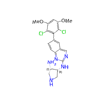 COc1cc(OC)c(Cl)c(-c2ccc3nc(N[C@@H]4CNC[C@@H]4N)ncc3c2)c1Cl